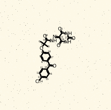 CC(C)(Oc1ccc(C(=O)c2ccc(Cl)cc2)cc1)C(=O)NN=C1C(=O)NC(=O)NC1=O